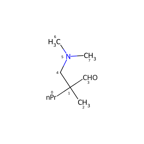 CCCC(C)(C=O)CN(C)C